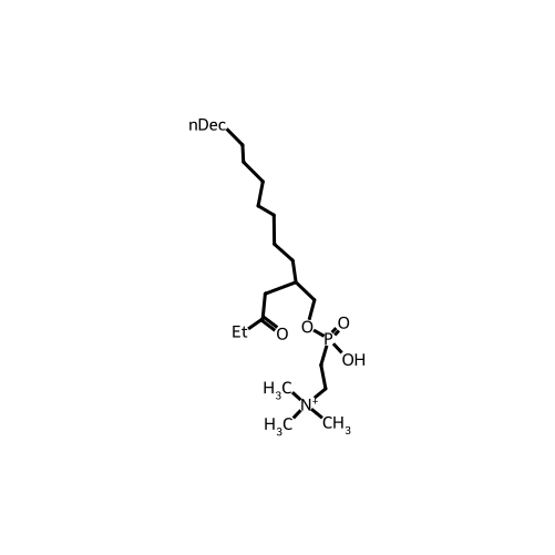 CCCCCCCCCCCCCCCCCC(COP(=O)(O)CC[N+](C)(C)C)CC(=O)CC